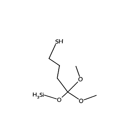 COC(CCCS)(OC)O[SiH3]